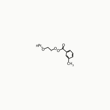 CCCOC[CH]OOC(=O)c1cccc(C)c1